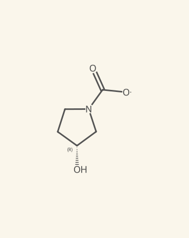 [O]C(=O)N1CC[C@@H](O)C1